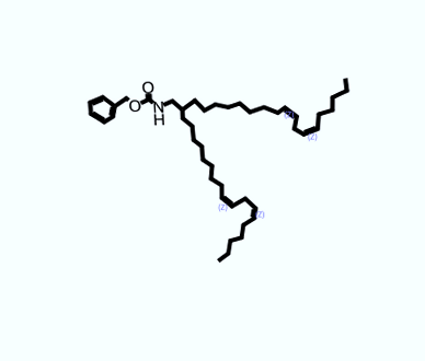 CCCCC/C=C\C/C=C\CCCCCCCCC(CCCCCCCC/C=C\C/C=C\CCCCC)CNC(=O)OCc1ccccc1